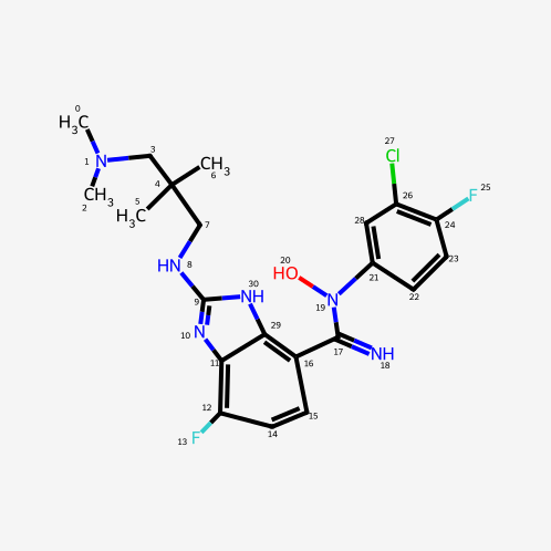 CN(C)CC(C)(C)CNc1nc2c(F)ccc(C(=N)N(O)c3ccc(F)c(Cl)c3)c2[nH]1